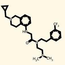 CN(C)CCN(CCc1cccc(C(F)(F)F)c1)C(=O)CNc1cccc2c1CCN(CC1CC1)C2